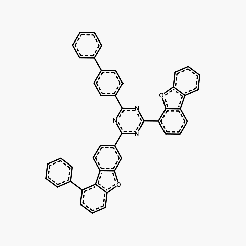 c1ccc(-c2ccc(-c3nc(-c4ccc5c(c4)oc4cccc(-c6ccccc6)c45)nc(-c4cccc5c4oc4ccccc45)n3)cc2)cc1